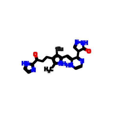 Cc1[nH]c(C=C2NC=CN=C2C2C=NNC2=O)c(C(C)(C)C)c1CCC(=O)c1ncc[nH]1